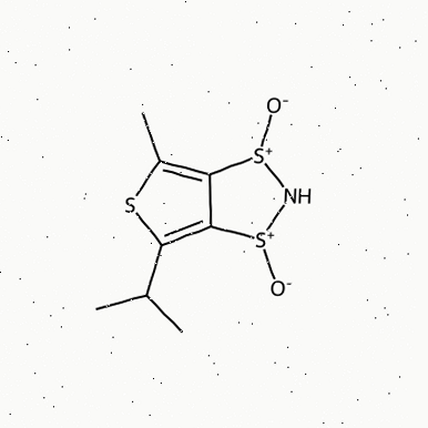 Cc1sc(C(C)C)c2c1[S+]([O-])N[S+]2[O-]